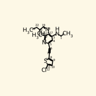 CCNc1cc(C#Cc2ccc(Cl)s2)nc(C)c1/N=C\C(C)CC